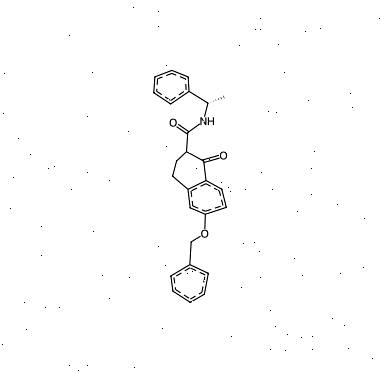 C[C@H](NC(=O)C1CCc2cc(OCc3ccccc3)ccc2C1=O)c1ccccc1